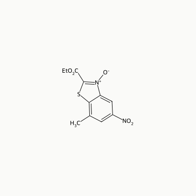 CCOC(=O)c1sc2c(C)cc([N+](=O)[O-])cc2[n+]1[O-]